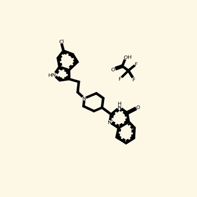 O=C(O)C(F)(F)F.O=c1[nH]c(C2CCN(CCc3c[nH]c4cc(Cl)ccc34)CC2)nc2ccccc12